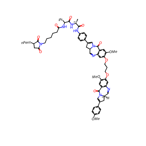 CCCCCC1CC(=O)N(CCCCCC(=O)NC(C(=O)N[C@@H](C)C(=O)Nc2ccc(C3=CN4C(=O)c5cc(OC)c(OCCCOc6cc7c(cc6OC)C(=O)N6C=C(c8ccc(OC)cc8)C[C@H]6C=N7)cc5N=CC4C3)cc2)C(C)C)C1=O